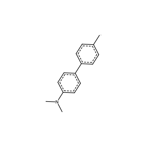 [CH2]c1ccc(-c2ccc(N(C)C)cc2)cc1